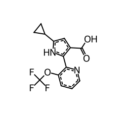 O=C(O)c1cc(C2CC2)[nH]c1-c1ncccc1OC(F)(F)F